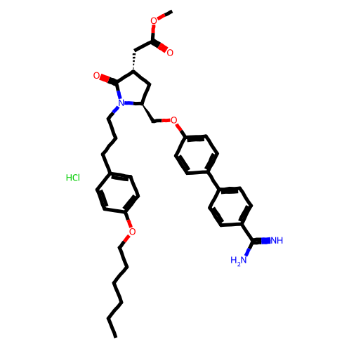 CCCCCCOc1ccc(CCCN2C(=O)[C@H](CC(=O)OC)C[C@H]2COc2ccc(-c3ccc(C(=N)N)cc3)cc2)cc1.Cl